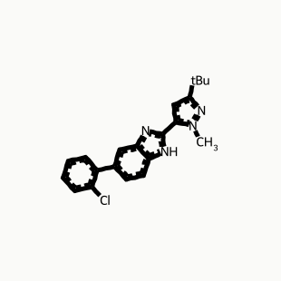 Cn1nc(C(C)(C)C)cc1-c1nc2cc(-c3ccccc3Cl)ccc2[nH]1